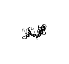 CC1(C)CCC(CN2CCCN(C(=O)c3ccc4c(c3)C(=O)N(C3CCC(=O)NC3=O)C4=O)CC2)=C(c2ccc(Cl)cc2)C1